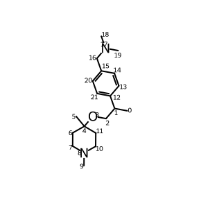 CC(COC1(C)CCN(C)CC1)c1ccc(CN(C)C)cc1